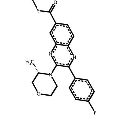 CC(C)CSC(=O)c1ccc2nc(-c3ccc(F)cc3)c(N3CCOC[C@@H]3C)nc2c1